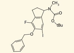 CN(C(=O)OC(C)(C)C)C1CCc2c1cc(I)c(OCc1ccccc1)c2F